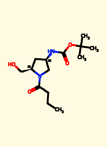 CCCC(=O)N1C[C@H](NC(=O)OC(C)(C)C)C[C@H]1CO